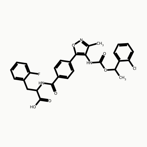 Cc1noc(-c2ccc(C(=O)NC(Cc3ccccc3F)C(=O)O)cc2)c1NC(=O)OC(C)c1ccccc1Cl